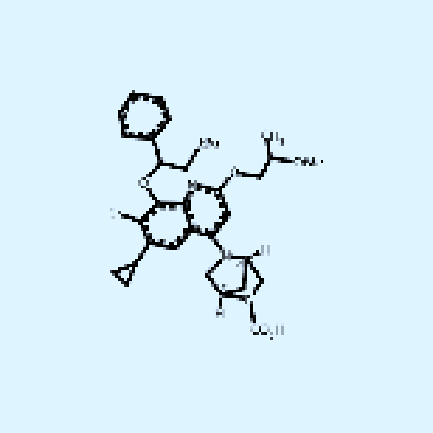 COC(C)COc1cc(N2C[C@@H]3C[C@H]2CN3C(=O)O)c2cc(C3CC3)c(Br)c(OC(CC(C)(C)C)c3ccccc3)c2n1